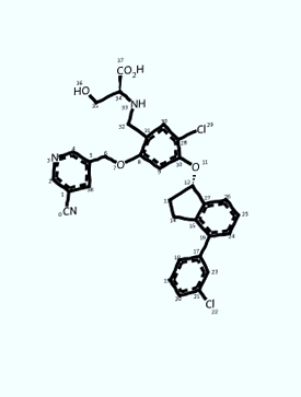 N#Cc1cncc(COc2cc(O[C@H]3CCc4c(-c5cccc(Cl)c5)cccc43)c(Cl)cc2CN[C@@H](CO)C(=O)O)c1